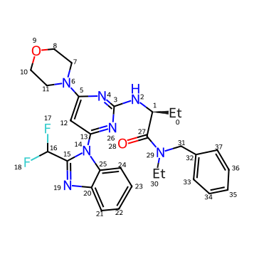 CC[C@H](Nc1nc(N2CCOCC2)cc(-n2c(C(F)F)nc3ccccc32)n1)C(=O)N(CC)Cc1ccccc1